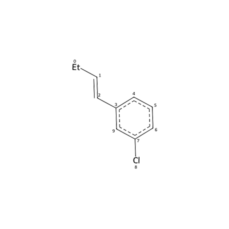 [CH2]CC=Cc1cccc(Cl)c1